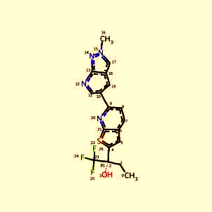 CC[C@](O)(c1cc2ccc(-c3cnc4nn(C)cc4c3)nc2s1)C(F)(F)F